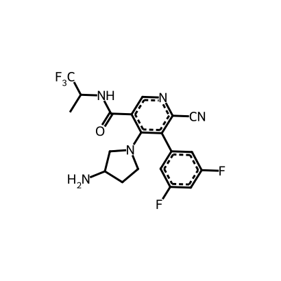 CC(NC(=O)c1cnc(C#N)c(-c2cc(F)cc(F)c2)c1N1CCC(N)C1)C(F)(F)F